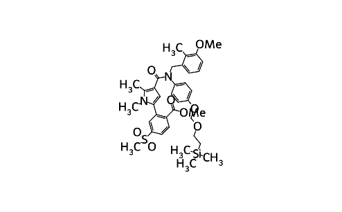 COC(=O)c1ccc(S(C)(=O)=O)cc1-c1cc(C(=O)N(Cc2cccc(OC)c2C)c2ccc(OCOCC[Si](C)(C)C)cc2)c(C)n1C